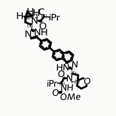 COC(=O)N[C@H](C(=O)N1C[C@]2(CCCOC2)C[C@H]1c1nc2ccc3cc(-c4ccc(-c5cnc([C@@H]6C[C@@H]7C[C@@H]7N6C(=O)[C@@H](C)C(C)C)[nH]5)cc4)ccc3c2[nH]1)C(C)C